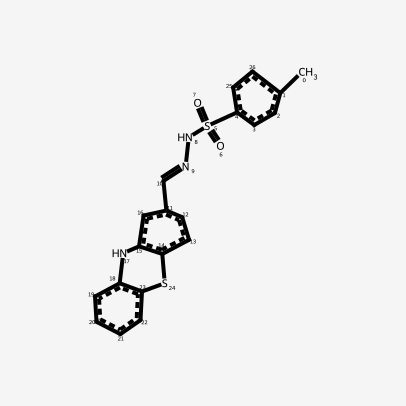 Cc1ccc(S(=O)(=O)N/N=C/c2ccc3c(c2)Nc2ccccc2S3)cc1